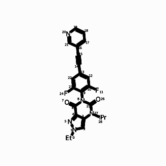 CCn1cc2c(n1)c(=O)n(-c1c(F)cc(C#Cc3cccnc3)cc1F)c(=O)n2C(C)C